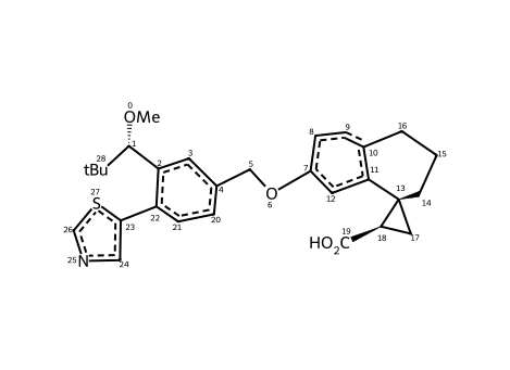 CO[C@H](c1cc(COc2ccc3c(c2)[C@]2(CCC3)C[C@H]2C(=O)O)ccc1-c1cncs1)C(C)(C)C